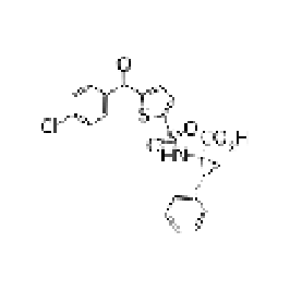 O=C(c1ccc(Cl)cc1)c1ccc(S(=O)(=O)N[C@@]2(C(=O)O)C[C@@H]2c2ccccc2)s1